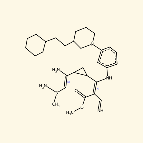 COC(=O)/C(C=N)=C(/Nc1cccc(N2CCCC(CCC3CCCCC3)C2)c1)C1CC1/C(N)=C/N(C)N